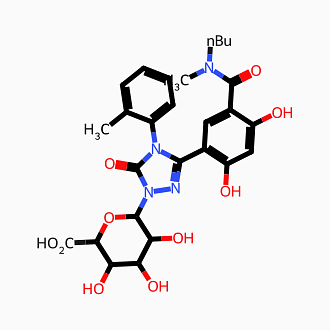 CCCCN(C)C(=O)c1cc(-c2nn(C3OC(C(=O)O)C(O)C(O)C3O)c(=O)n2-c2ccccc2C)c(O)cc1O